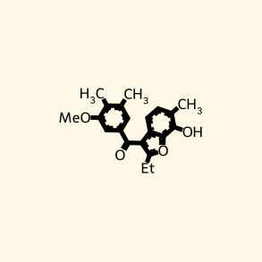 CCc1oc2c(O)c(C)ccc2c1C(=O)c1cc(C)c(C)c(OC)c1